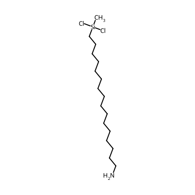 C[Si](Cl)(Cl)CCCCCCCCCCCCCCCCN